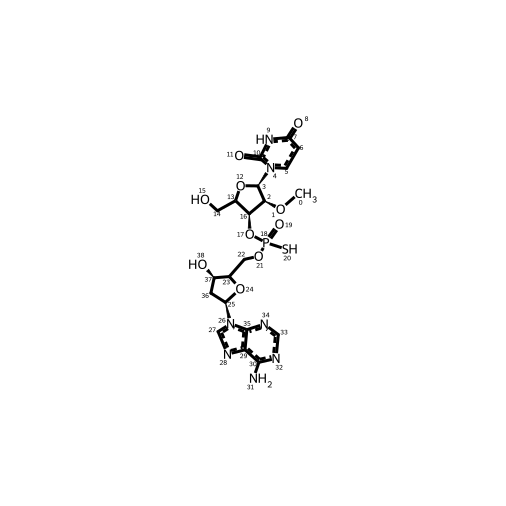 CO[C@@H]1[C@H](n2ccc(=O)[nH]c2=O)OC(CO)[C@@H]1OP(=O)(S)OCC1O[C@@H](n2cnc3c(N)ncnc32)C[C@H]1O